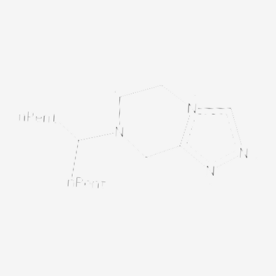 CCCCCC(CCCCC)N1CCn2cnnc2C1